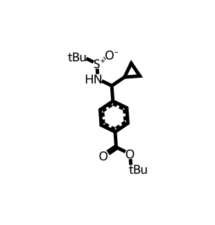 CC(C)(C)OC(=O)c1ccc(C(N[S+]([O-])C(C)(C)C)C2CC2)cc1